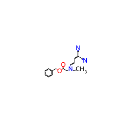 CCN(/C=C/C=C(C#N)C#N)CC(=O)OCc1ccccc1